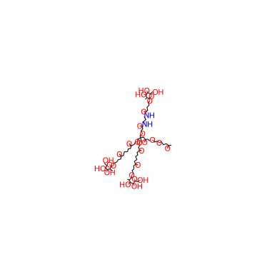 CC(=O)CCCOCCOCCC(=O)CC(COCCC(=O)CCCCCC(=O)CCCCOC1OC(CO)C(O)C(O)C1C)(COCCC(=O)CCCCCC(=O)CCCCOC1OC(CO)C(O)C(O)C1C)COCCC(=O)NCCCNC(=O)CCCCOC1OC(CO)C(O)C(O)C1C